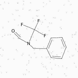 O=[C]N(Cc1ccccc1)C(F)(F)F